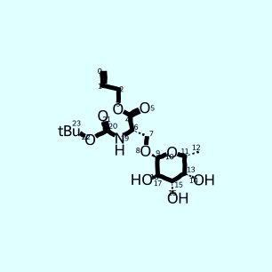 C=CCOC(=O)[C@H](CO[C@@H]1O[C@H](C)[C@H](O)[C@H](O)[C@H]1O)NC(=O)OC(C)(C)C